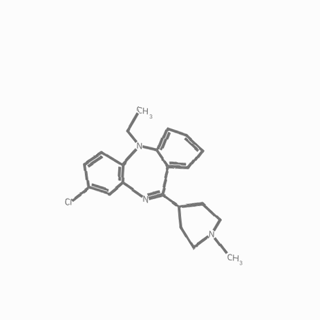 CCN1c2ccc(Cl)cc2N=C(C2CCN(C)CC2)c2ccccc21